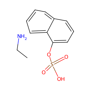 CCN.O=S(=O)(O)Oc1cccc2ccccc12